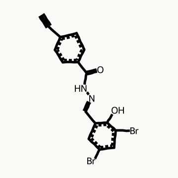 C#Cc1ccc(C(=O)N/N=C/c2cc(Br)cc(Br)c2O)cc1